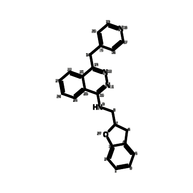 c1ccc2c(c1)CC(CNc1nnc(Cc3ccncc3)c3ccccc13)O2